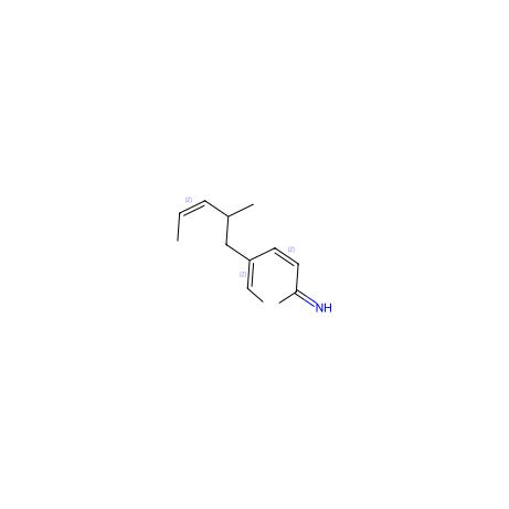 C/C=C\C(C)CC(/C=C\C(C)=N)=C/C